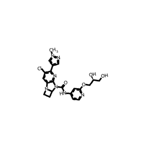 Cn1cc(-c2nc3c(cc2Cl)N2CCC2N3C(=O)Nc2ccnc(OC[C@@H](O)CO)c2)cn1